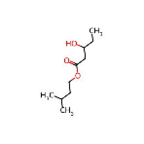 CCC(O)CC(=O)OCCC(C)C